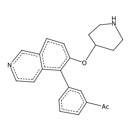 CC(=O)c1cccc(-c2c(OC3CCNCC3)ccc3cnccc23)c1